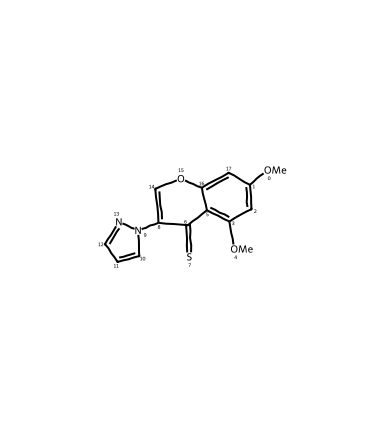 COc1cc(OC)c2c(=S)c(-n3cccn3)coc2c1